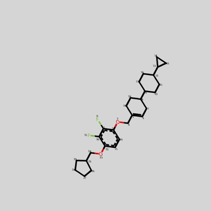 Fc1c(OCC2=CCC(C3CCC(C4CC4)CC3)CC2)ccc(OCC2CCCC2)c1F